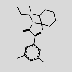 CCCN1C(=O)C(c2cc(Cl)cc(Cl)c2)=NC12CCCCC2OC